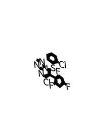 Fc1cc(F)c(-c2c(Cl)nc3ncnn3c2Sc2ccccc2Cl)c(F)c1